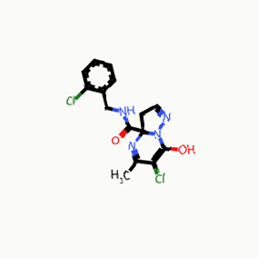 CC1=NC2(C(=O)NCc3ccccc3Cl)CC=NN2C(O)=C1Cl